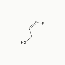 OC/C=P\F